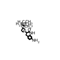 CC(C)(C)[Si](C)(C)O[C@H]1CCN(C2Cc3ccc(N)cc3NC2=O)C1